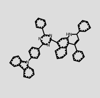 C1=C(c2ccccc2)c2c(cc(-c3nc(-c4ccccc4)nc(-c4ccc(-n5c6ccccc6c6ccccc65)cc4)n3)c3ccccc23)NC1c1ccccc1